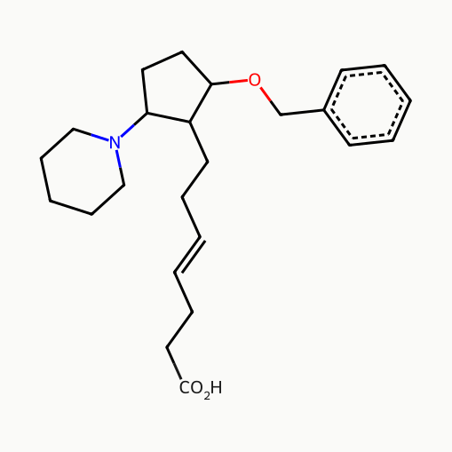 O=C(O)CCC=CCCC1C(OCc2ccccc2)CCC1N1CCCCC1